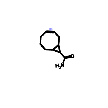 NC(=O)C1C2C/C=C\CCCC21